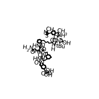 Cc1ncsc1-c1ccc([C@H](C)NC(=O)[C@@H]2C[C@@H](O)CN2C(=O)[C@@H](NC(=O)CCCCc2cccc(NC(=O)C(CCC(N)=O)NC(=O)[C@@H]3Cc4cccc5c4N3C(=O)[C@@H](NC(=O)c3cc4cc(C(=O)P(=O)(O)O)ccc4[nH]3)CC5)c2Cl)C(C)(C)C)cc1